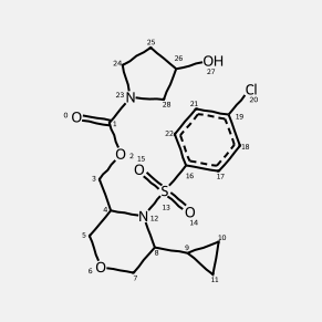 O=C(OCC1COCC(C2CC2)N1S(=O)(=O)c1ccc(Cl)cc1)N1CCC(O)C1